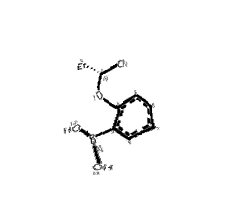 CC[C@H](Cl)Oc1ccccc1B(O)O